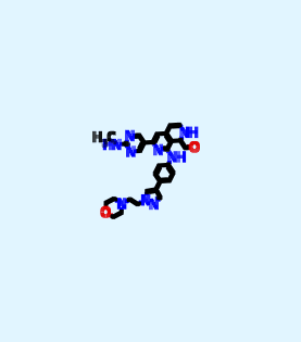 CNc1ncc(-c2cc3c(c(Nc4ccc(-c5cnn(CCN6CCOCC6)c5)cc4)n2)C(C=O)NC=C3)cn1